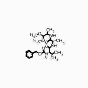 COC(OC)C(C)NC(=O)[C@H](C)NC(=O)[C@@H](NC(=O)OCc1ccccc1)C(C)C